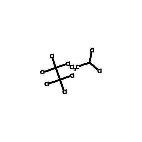 ClC(Cl)(Cl)C(Cl)(Cl)Cl.Cl[C](Cl)C(Cl)(Cl)Cl